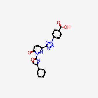 O=C(O)c1ccc(-n2nnc(-c3ccc(=O)n(-c4nc(-c5ccccc5)co4)n3)n2)cc1